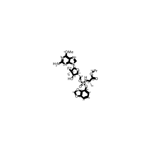 COc1nc(N)nc2c1ncn2[C@@H]1O[C@H](COP(=O)(N[C@@H](C)C(=O)OC(C)C)Oc2cccc3c2OCO3)[C@@H](O)[C@@]1(C)F